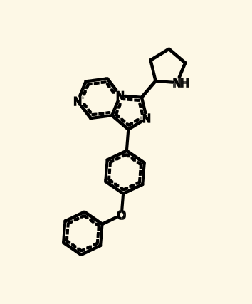 c1ccc(Oc2ccc(-c3nc(C4CCCN4)n4ccncc34)cc2)cc1